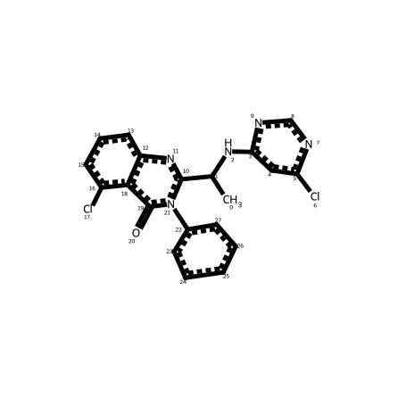 CC(Nc1cc(Cl)ncn1)c1nc2cccc(Cl)c2c(=O)n1-c1ccccc1